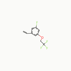 C=Cc1cc(F)cc(OCC(F)(F)F)c1